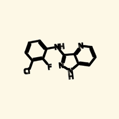 Fc1c(Cl)cccc1Nc1n[nH]c2cccnc12